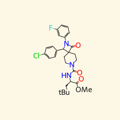 COC(=O)[C@@H](CC(C)(C)C)NC(=O)N1CCC2(CC1)C(=O)N(c1cccc(F)c1)C2c1ccc(Cl)cc1